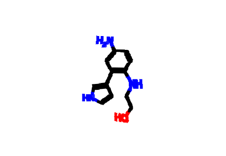 Nc1ccc(NCCO)c(-c2cc[nH]c2)c1